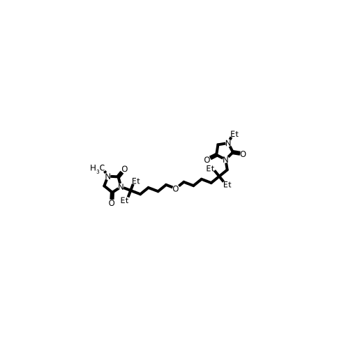 CCN1CC(=O)N(CC(CC)(CC)CCCCOCCCCC(CC)(CC)N2C(=O)CN(C)C2=O)C1=O